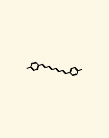 Cc1ccc(/C=C/C=C/C=C/C=C/c2ccc(C)cc2)cc1